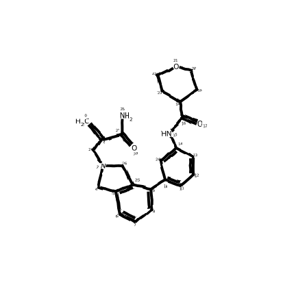 C=C(CN1Cc2cccc(-c3cccc(NC(=O)C4CCOCC4)c3)c2C1)C(N)=O